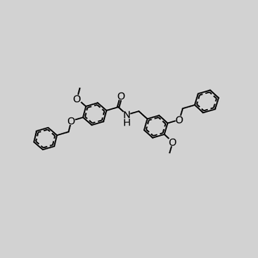 COc1cc(C(=O)NCc2ccc(OC)c(OCc3ccccc3)c2)ccc1OCc1ccccc1